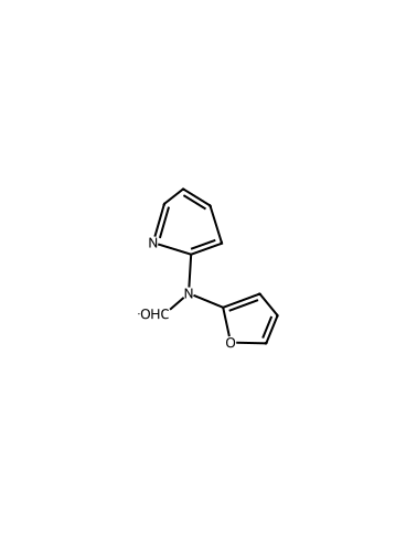 O=[C]N(c1ccccn1)c1ccco1